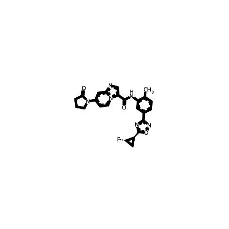 Cc1ccc(-c2noc([C@H]3C[C@@H]3F)n2)cc1NC(=O)c1cnc2cc(N3CCCC3=O)ccn12